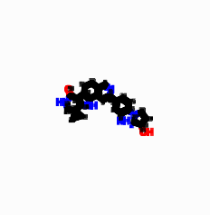 Nc1cc(-c2cc3c(cn2)CCc2c-3[nH]c3c2C(=O)NCC32CC2)ccc1N1CCC(O)C1